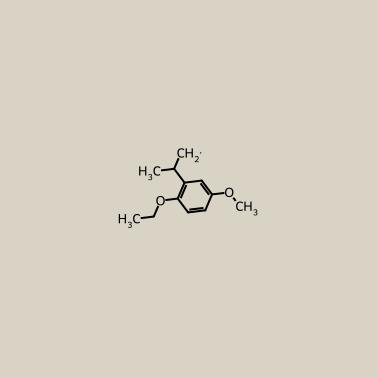 [CH2]C(C)c1cc(OC)ccc1OCC